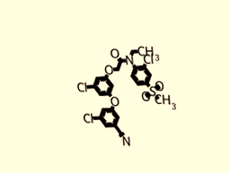 CCN(C(=O)COc1cc(Cl)cc(Oc2cc(Cl)cc(C#N)c2)c1)c1ccc(S(C)(=O)=O)cc1Cl